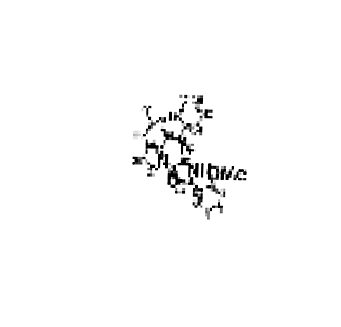 COc1ccccc1C(=O)NC1N=C(c2ccccc2)c2cc(C)cc3c2N(CC3)C1=O